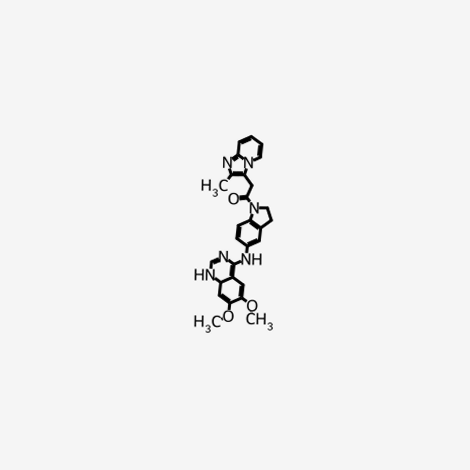 COC1=CC2=C(Nc3ccc4c(c3)CCN4C(=O)Cc3c(C)nc4ccccn34)N=CNC2C=C1OC